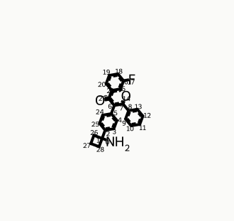 NC1(c2ccc(-c3c(-c4ccccc4)oc4c(F)cccc4c3=O)cc2)CCC1